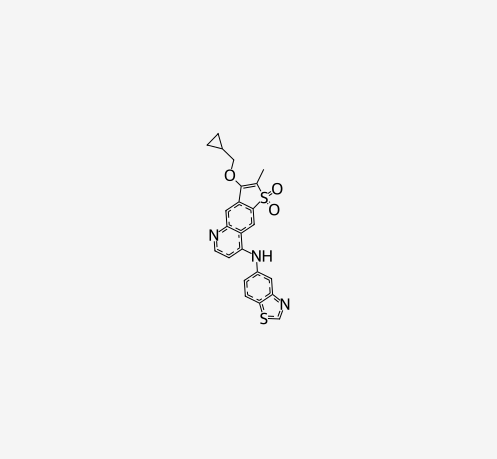 CC1=C(OCC2CC2)c2cc3nccc(Nc4ccc5scnc5c4)c3cc2S1(=O)=O